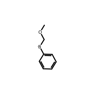 COC[B]c1ccccc1